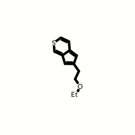 [CH2]COCCc1cc2ccscc-2c1